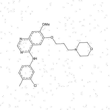 COc1cc2ncnc(Nc3ccc(C)c(Cl)c3)c2cc1OCCCN1CCOCC1